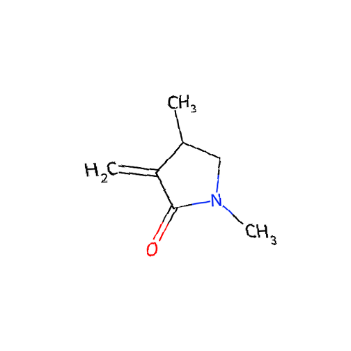 C=C1C(=O)N(C)CC1C